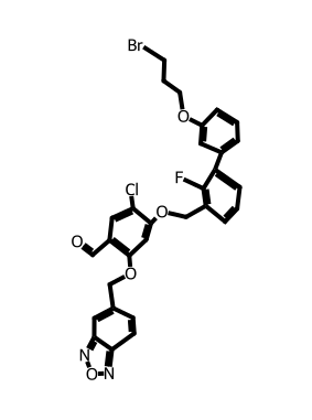 O=Cc1cc(Cl)c(OCc2cccc(-c3cccc(OCCCBr)c3)c2F)cc1OCc1ccc2nonc2c1